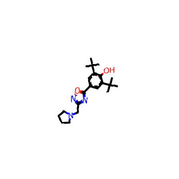 CC(C)(C)c1cc(-c2nc(CN3CCCC3)no2)cc(C(C)(C)C)c1O